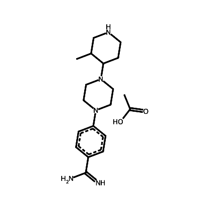 CC(=O)O.CC1CNCCC1N1CCN(c2ccc(C(=N)N)cc2)CC1